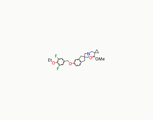 CCOc1c(F)cc(COc2ccc3c(c2)CC2(C3)CN(CC3(C(=O)OC)CC3)C2)cc1F